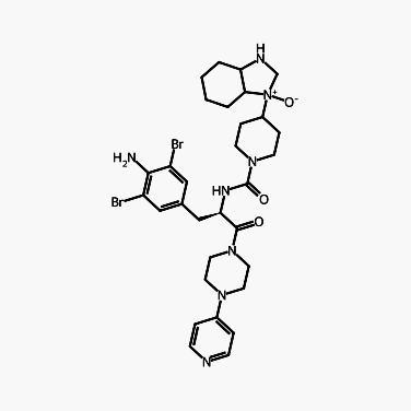 Nc1c(Br)cc(C[C@@H](NC(=O)N2CCC([N+]3([O-])CNC4CCCCC43)CC2)C(=O)N2CCN(c3ccncc3)CC2)cc1Br